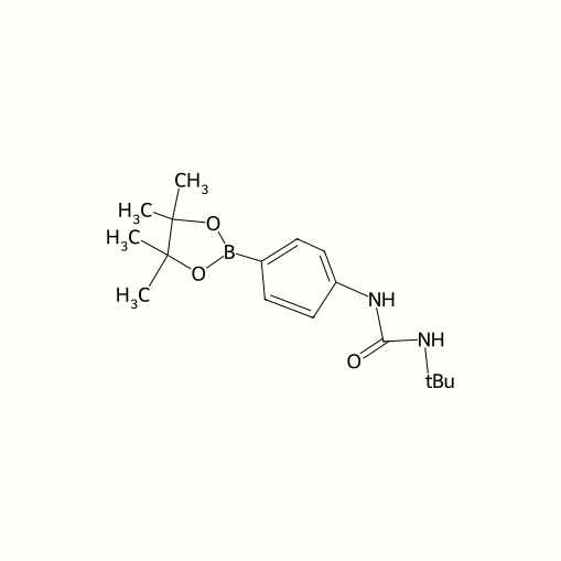 CC(C)(C)NC(=O)Nc1ccc(B2OC(C)(C)C(C)(C)O2)cc1